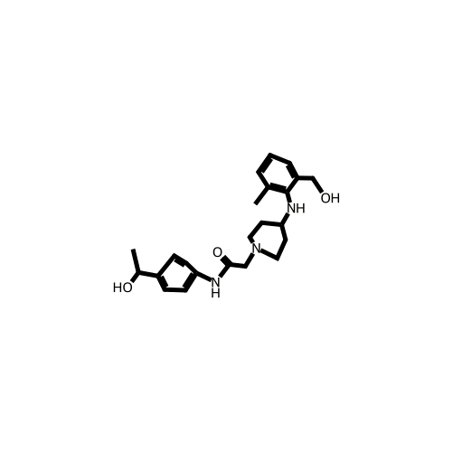 Cc1cccc(CO)c1NC1CCN(CC(=O)Nc2ccc(C(C)O)cc2)CC1